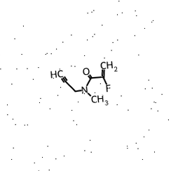 C#CCN(C)C(=O)C(=C)F